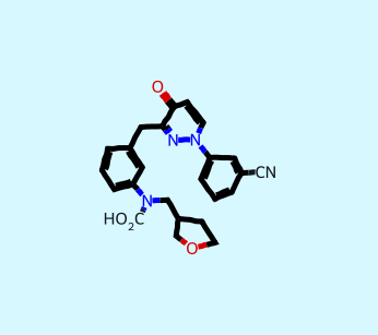 N#Cc1cccc(-n2ccc(=O)c(Cc3cccc(N(CC4CCOC4)C(=O)O)c3)n2)c1